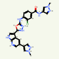 Cn1cc(NC(=O)c2ccc(NC3=NNC(c4c[nH]c5ncc(-c6cnn(C)c6)cc45)O3)c(Cl)c2)cn1